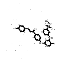 Cc1cnc(Nc2ccc(C(=O)/C=C/c3ccc(F)cc3)cc2)nc1Nc1cccc(S(=O)(=O)NC(C)(C)C)c1